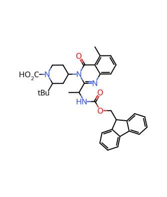 Cc1cccc2nc(C(C)NC(=O)OCC3c4ccccc4-c4ccccc43)n(C3CCN(C(=O)O)C(C(C)(C)C)C3)c(=O)c12